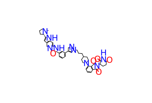 CN1CCC[C@@H]1c1cc2cnc(NC(=O)c3cccc(-c4cnn(CCCC5CCN(c6cccc7c6C(=O)N(C6CCC(=O)NC6=O)C7=O)CC5)c4)c3)cc2[nH]1